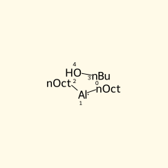 CCCCCCC[CH2][Al][CH2]CCCCCCC.CCCCO